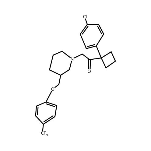 O=C(CN1CCCC(COc2ccc(C(F)(F)F)cc2)C1)C1(c2ccc(Cl)cc2)CCC1